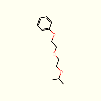 CC(C)OCCOCCOc1ccccc1